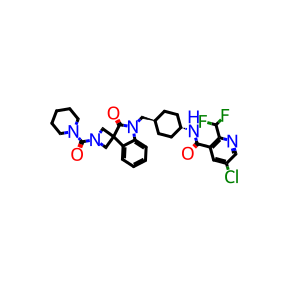 O=C(N[C@H]1CC[C@H](CN2C(=O)C3(CN(C(=O)N4CCCCC4)C3)c3ccccc32)CC1)c1cc(Cl)cnc1C(F)F